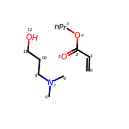 C=CC(=O)OCCC.CN(C)CCCO